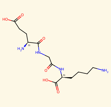 NCCCC[C@H](NC(=O)CNC(=O)[C@@H](N)CCC(=O)O)C(=O)O